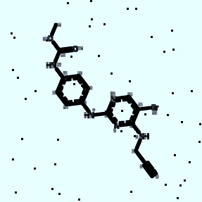 C#CCNc1nc(Nc2ccc(NC(=O)OC)cc2)ncc1Br